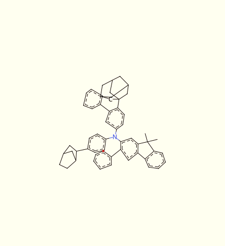 CC1(C)c2ccccc2-c2cc(-c3ccccc3)c(N(c3ccc(C4CC5CCC4C5)cc3)c3ccc(C45CC6CC(CC(C6)C4)C5)c(-c4ccccc4)c3)cc21